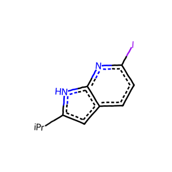 CC(C)c1cc2ccc(I)nc2[nH]1